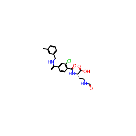 C=C(NCc1cccc(C)c1)c1ccc(C(=O)N[C@@H](CCNC=O)C(=O)O)c(Cl)c1